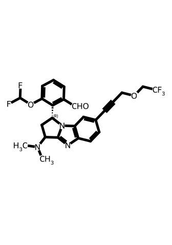 CN(C)C1C[C@H](c2c(C=O)cccc2OC(F)F)n2c1nc1ccc(C#CCOCC(F)(F)F)cc12